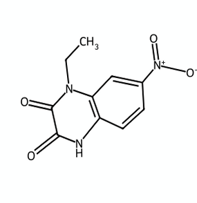 CCn1c(=O)c(=O)[nH]c2ccc([N+](=O)[O-])cc21